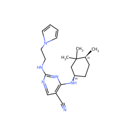 C[C@H]1CC[C@@H](Nc2nc(NCCn3cccc3)ncc2C#N)CC1(C)C